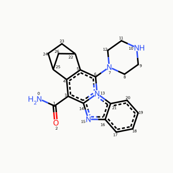 NC(=O)c1c2c(c(N3CCNCC3)n3c1nc1ccccc13)C1CCC2C1